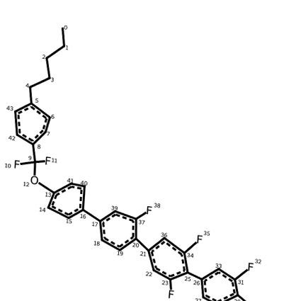 CCCCCc1ccc(C(F)(F)Oc2ccc(-c3ccc(-c4cc(F)c(-c5ccc(F)c(F)c5)c(F)c4)c(F)c3)cc2)cc1